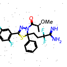 CO[C@@H](C)C(=O)N1N=C(c2cc(F)ccc2F)SC1(CCC(F)(F)C(=N)N)c1ccccc1